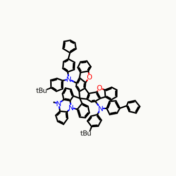 CN1c2ccccc2N2c3ccccc3C3(c4cccc1c42)c1cc(N(c2ccc(-c4ccccc4)cc2)c2ccc(C(C)(C)C)cc2)c2c(oc4ccccc42)c1-c1c3cc(N(c2ccc(-c3ccccc3)cc2)c2ccc(C(C)(C)C)cc2)c2c1oc1ccccc12